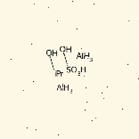 CC(C)O.O=S(=O)(O)O.[AlH3].[AlH3]